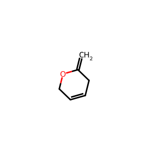 C=C1CC=CCO1